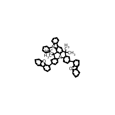 CC1(C)c2cc(-c3cccc4c3oc3ccccc34)ccc2N2c3ccc(-c4cccc5c4oc4ccccc45)cc3C(C)(C)c3c2c1cc1c2ccccc2n(-c2ccccc2)c31